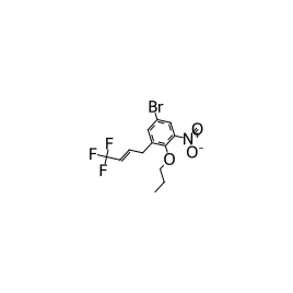 CCCOc1c(CC=CC(F)(F)F)cc(Br)cc1[N+](=O)[O-]